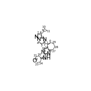 C1=C(c2ccn3ncc(C4CC4)c3n2)c2cnc(NC3CCOCC3)nc2CCC1